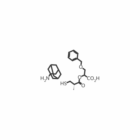 C[C@H](CS)C(=O)OC(COCc1ccccc1)C(=O)O.NC12CC3CC(CC(C3)C1)C2